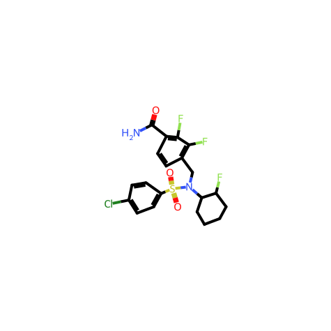 NC(=O)c1ccc(CN(C2CCCCC2F)S(=O)(=O)c2ccc(Cl)cc2)c(F)c1F